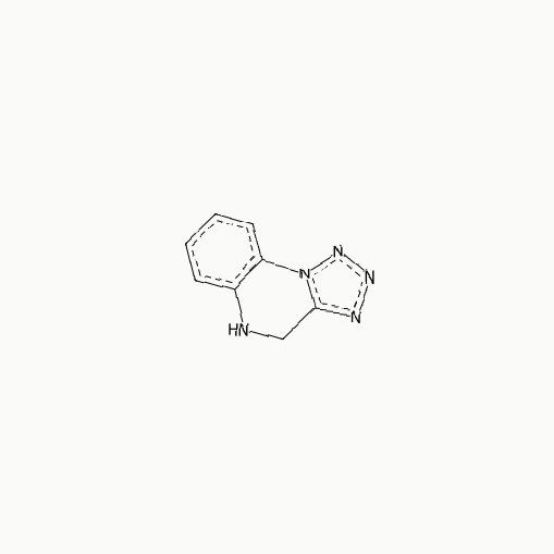 c1ccc2c(c1)NCc1nnnn1-2